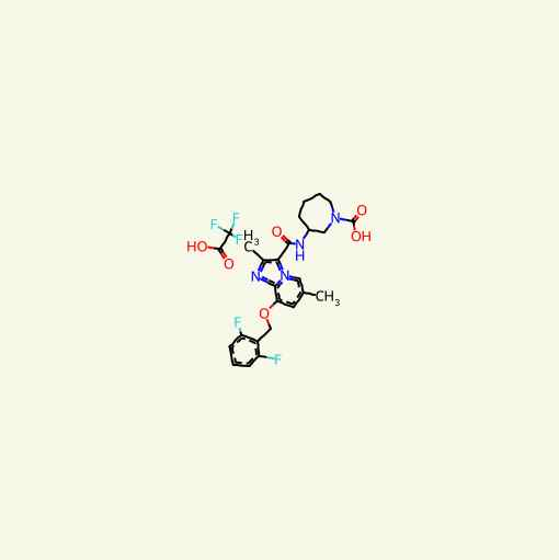 Cc1cc(OCc2c(F)cccc2F)c2nc(C)c(C(=O)NC3CCCCN(C(=O)O)C3)n2c1.O=C(O)C(F)(F)F